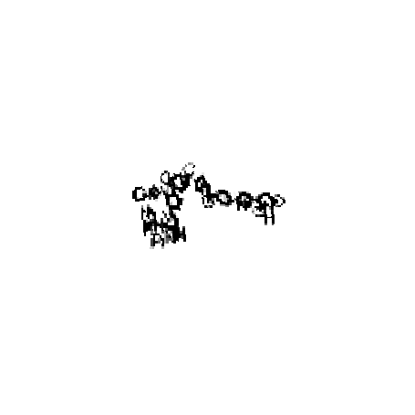 CC(C)n1cnc2cc(-c3ccc4c(c3)N(C3CC(N5CCCCC5)C3)C(=O)C43CCN(C(=O)[C@@H]4CCN(C(=O)C5CCN(c6ccc([C@H]7CCC(=O)NC7=O)cn6)CC5)C4)CC3)nc(Nc3ccncc3F)c21